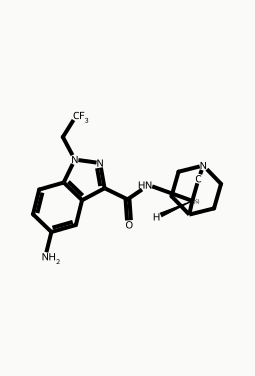 Nc1ccc2c(c1)c(C(=O)N[C@@H]1CN3CCC1CC3)nn2CC(F)(F)F